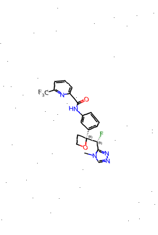 Cn1cnnc1[C@@H](F)[C@]1(c2cccc(NC(=O)c3cccc(C(F)(F)F)n3)c2)CCO1